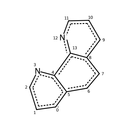 [c]1ccnc2c1ccc1cccnc12